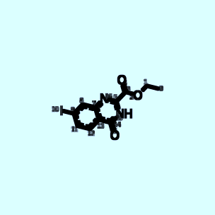 CCOC(=O)c1nc2cc(I)ccc2c(=O)[nH]1